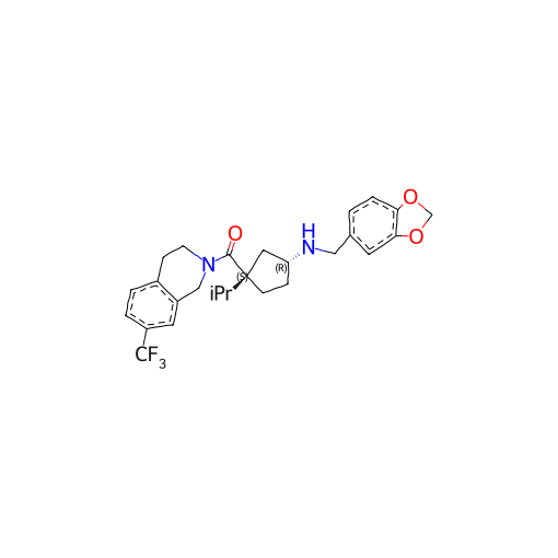 CC(C)[C@]1(C(=O)N2CCc3ccc(C(F)(F)F)cc3C2)CC[C@@H](NCc2ccc3c(c2)OCO3)C1